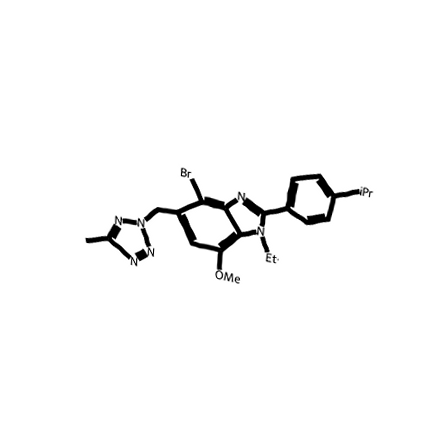 [CH2][CH]n1c(-c2ccc(C(C)C)cc2)nc2c(Br)c(Cn3nnc(C)n3)cc(OC)c21